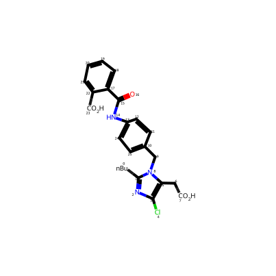 CCCCc1nc(Cl)c(CC(=O)O)n1Cc1ccc(NC(=O)c2ccccc2C(=O)O)cc1